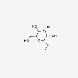 COC1OC(CO)C(O)[C@H](O)[C@@H]1O